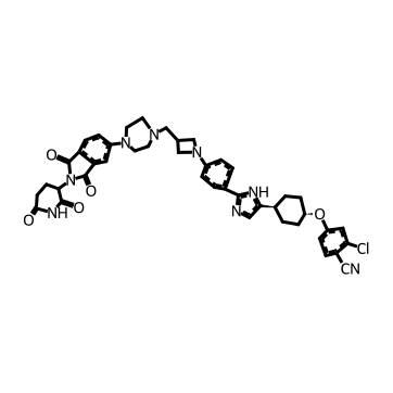 N#Cc1ccc(O[C@H]2CC[C@H](c3cnc(-c4ccc(N5CC(CN6CCN(c7ccc8c(c7)C(=O)N(C7CCC(=O)NC7=O)C8=O)CC6)C5)cc4)[nH]3)CC2)cc1Cl